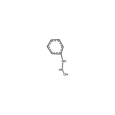 ONNc1ccccc1